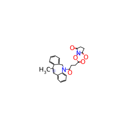 C/C1=C/c2ccccc2N(C(=O)CCC(=O)ON2C(=O)CCC2=O)Cc2ccccc21